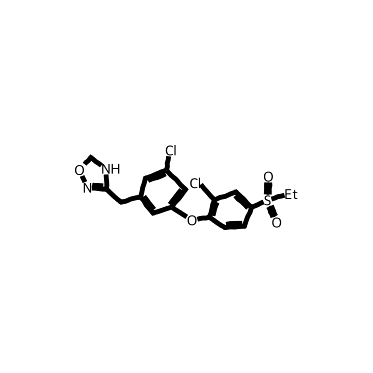 CCS(=O)(=O)c1ccc(Oc2cc(Cl)cc(CC3=NOCN3)c2)c(Cl)c1